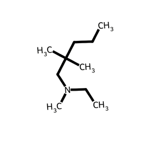 CCCC(C)(C)CN(C)CC